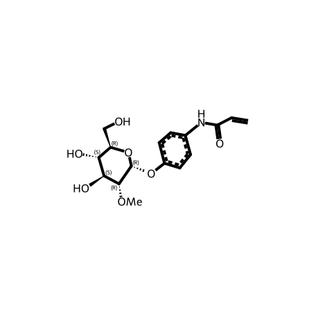 C=CC(=O)Nc1ccc(O[C@H]2O[C@H](CO)[C@@H](O)[C@H](O)[C@H]2OC)cc1